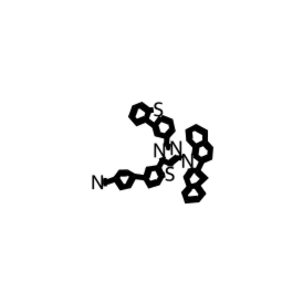 N#Cc1ccc(-c2ccc3sc4c(-n5c6cc7ccccc7cc6c6ccc7ccccc7c65)nc(-c5ccc6sc7ccccc7c6c5)nc4c3c2)cc1